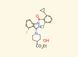 CCOC(=O)[C@H]1CCN(c2nn(C(=O)c3c(Cl)cccc3C3CC3)c3cccc(F)c23)C[C@@H]1O